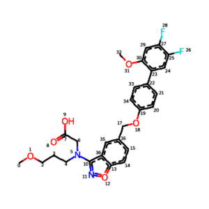 COCCCN(CC(=O)O)c1noc2ccc(COc3ccc(-c4cc(F)c(F)cc4OC)cc3)cc12